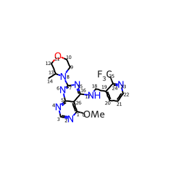 COc1ncnc2nc(N3CCOCC3C)nc(NCc3cccnc3C(F)(F)F)c12